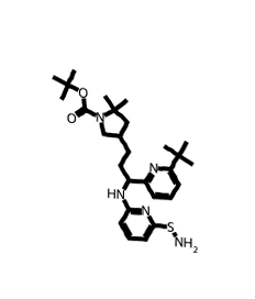 CC(C)(C)OC(=O)N1CC(CCC(Nc2cccc(SN)n2)c2cccc(C(C)(C)C)n2)CC1(C)C